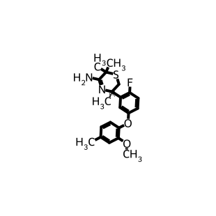 COc1cc(C)ccc1Oc1ccc(F)c([C@]2(C)CSC(C)(C)C(N)=N2)c1